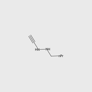 C#CNNCCCC